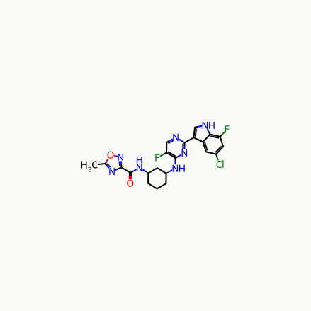 Cc1nc(C(=O)N[C@@H]2CCC[C@H](Nc3nc(-c4c[nH]c5c(F)cc(Cl)cc45)ncc3F)C2)no1